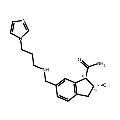 NC(=O)[C@@H]1c2cc(CNCCCn3ccnc3)ccc2C[C@H]1O